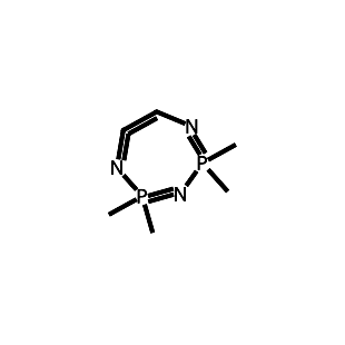 CP1(C)=NC=C=NP(C)(C)=N1